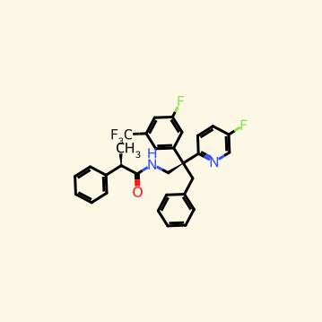 C[C@@H](C(=O)NC[C@@](Cc1ccccc1)(c1cc(F)cc(C(F)(F)F)c1)c1ccc(F)cn1)c1ccccc1